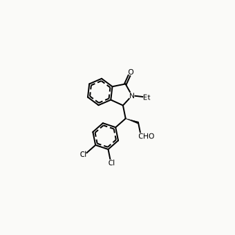 CCN1C(=O)c2ccccc2C1[C@@H](CC=O)c1ccc(Cl)c(Cl)c1